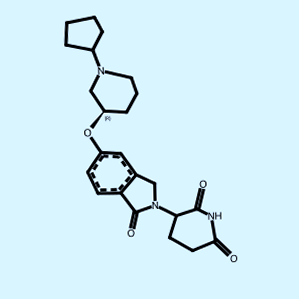 O=C1CCC(N2Cc3cc(O[C@@H]4CCCN(C5CCCC5)C4)ccc3C2=O)C(=O)N1